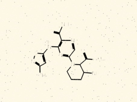 COC(=O)C1C(N)CCCN1c1cnc(C(N)=O)c(Nc2cc(C)ns2)n1